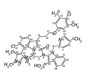 Cc1ccc(Cn2c(N3C[C@@H](C)n4c(c(CCCOc5cc(C)c(Cl)c(C)c5)c5ccc(Cl)c(-c6c(C)nn(C)c6C)c54)C3=O)c(C(=O)O)c3ccccc32)nc1